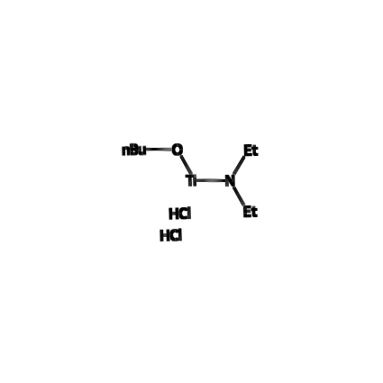 CCCC[O][Ti][N](CC)CC.Cl.Cl